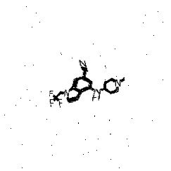 CN1CCC(Nc2cc(C#N)cc3c2ccn3CC(F)(F)F)CC1